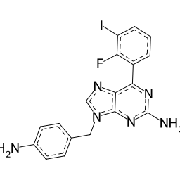 Nc1ccc(Cn2cnc3c(-c4cccc(I)c4F)nc(N)nc32)cc1